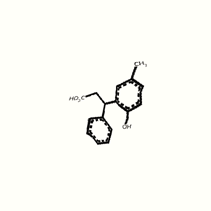 Cc1ccc(O)c(C(CC(=O)O)c2ccccc2)c1